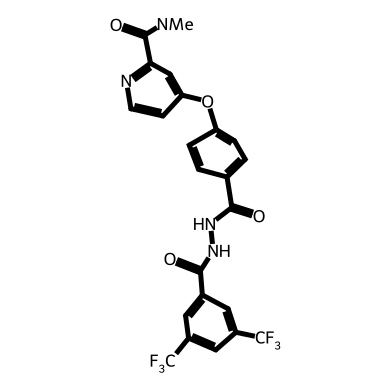 CNC(=O)c1cc(Oc2ccc(C(=O)NNC(=O)c3cc(C(F)(F)F)cc(C(F)(F)F)c3)cc2)ccn1